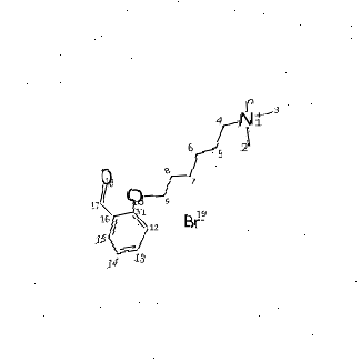 C[N+](C)(C)CCCCCCOc1ccccc1C=O.[Br-]